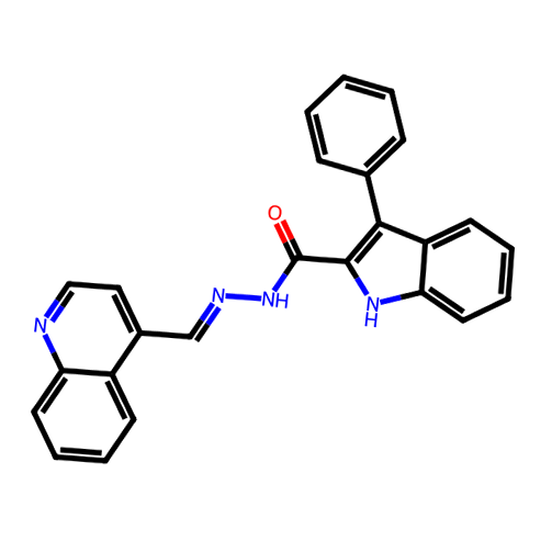 O=C(NN=Cc1ccnc2ccccc12)c1[nH]c2ccccc2c1-c1ccccc1